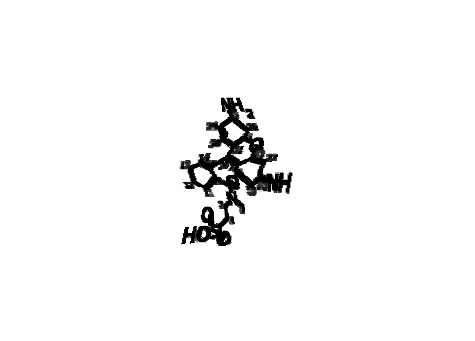 CN(CCS(=O)(=O)O)C(=O)c1ccccc1-c1c2ccc(=N)cc-2oc2cc(N)ccc12